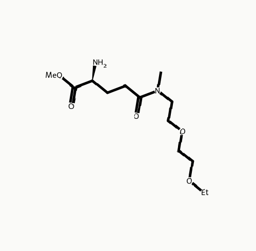 CCOCCOCCN(C)C(=O)CC[C@H](N)C(=O)OC